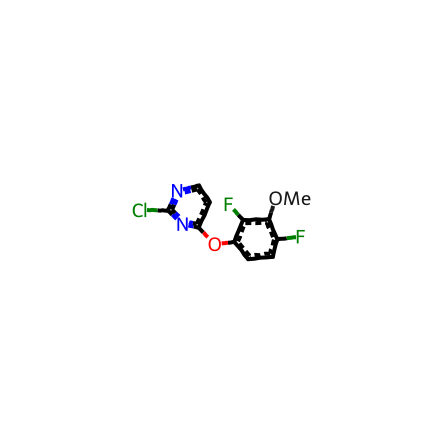 COc1c(F)ccc(Oc2ccnc(Cl)n2)c1F